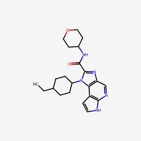 N#CCC1CCC(n2c(C(=O)NC3CCOCC3)nc3cnc4[nH]ccc4c32)CC1